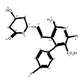 Cc1nc(C(C)C)c(C(=O)O)c(-c2ccc(F)cc2)c1/C=C/[C@H]1C[C@H](O)CC(=O)O1